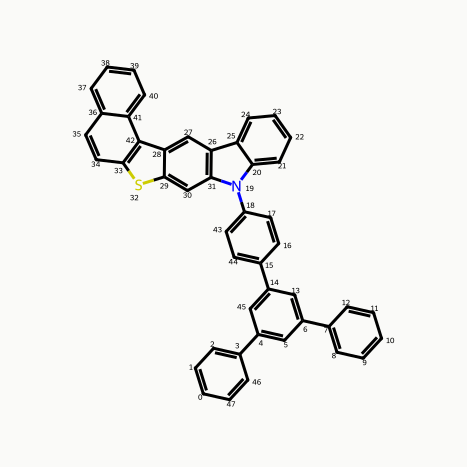 c1ccc(-c2cc(-c3ccccc3)cc(-c3ccc(-n4c5ccccc5c5cc6c(cc54)sc4ccc5ccccc5c46)cc3)c2)cc1